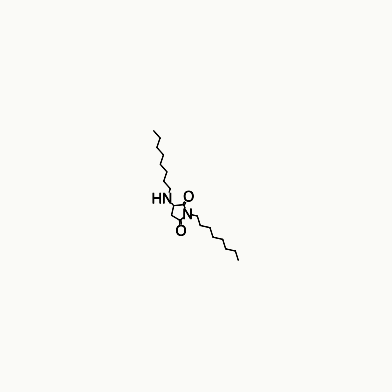 CCCCCCCCNC1CC(=O)N(CCCCCCCC)C1=O